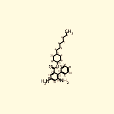 CCCCCCCC1CCC(OC(=O)c2cc(N)cc(N)c2-c2ccccc2)CC1